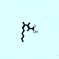 CCCCCC=C(C)C(C)=C(C)C(=O)O